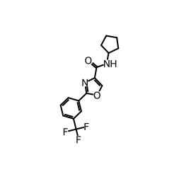 O=C(NC1CCCC1)c1coc(-c2cccc(C(F)(F)F)c2)n1